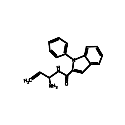 C=CC(N)NC(=O)c1cc2ccccc2n1-c1ccccc1